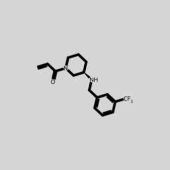 C=CC(=O)N1CCC[C@@H](NCc2cccc(C(F)(F)F)c2)C1